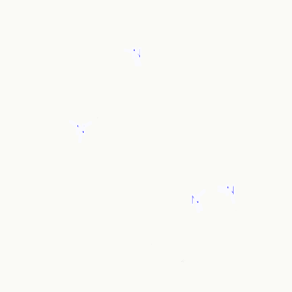 c1ccc(-c2nc(-c3ccc(-c4cccc(-c5nc6ccccc6c6c5ccc5c6c6ccccc6n5-c5ccccc5)c4)cc3)nc3ccccc23)cc1